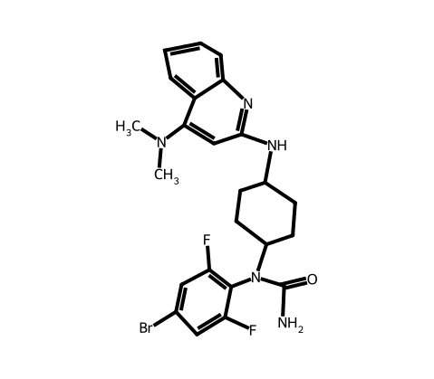 CN(C)c1cc(NC2CCC(N(C(N)=O)c3c(F)cc(Br)cc3F)CC2)nc2ccccc12